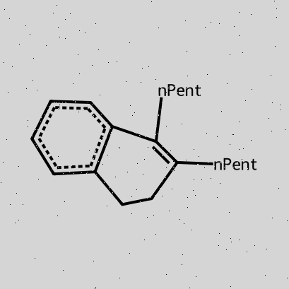 CCCCCC1=C(CCCCC)c2ccccc2CC1